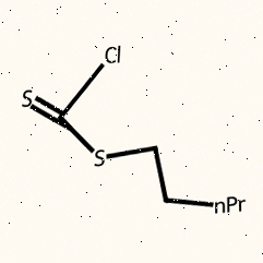 CCCCCSC(=S)Cl